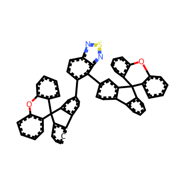 c1ccc2c(c1)Oc1ccccc1C21c2ccccc2-c2ccc(-c3ccc4nsnc4c3-c3ccc4c(c3)C3(c5ccccc5Oc5ccccc53)c3ccccc3-4)cc21